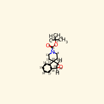 CC(C)(C)OC(=O)N1CCC2(CC1)c1ccccc1[C@H]1O[C@H]12